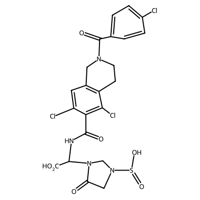 O=C(NC(C(=O)O)N1CN(S(=O)O)CC1=O)c1c(Cl)cc2c(c1Cl)CCN(C(=O)c1ccc(Cl)cc1)C2